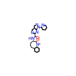 CN1C(=O)[C@@H](NC(=O)c2ncc3cnn(-c4ccccn4)c3n2)CCCc2ccccc21